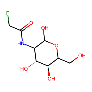 O=C(CF)NC1C(O)OC(CO)[C@@H](O)[C@@H]1O